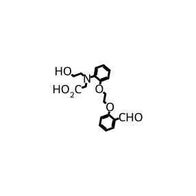 O=Cc1ccccc1OCCOc1ccccc1N(CCO)CC(=O)O